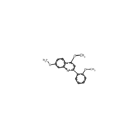 COc1ccc2c(OC)cc(-c3ccccc3OC)nc2c1